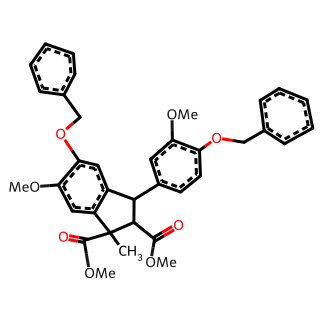 COC(=O)C1C(c2ccc(OCc3ccccc3)c(OC)c2)c2cc(OCc3ccccc3)c(OC)cc2C1(C)C(=O)OC